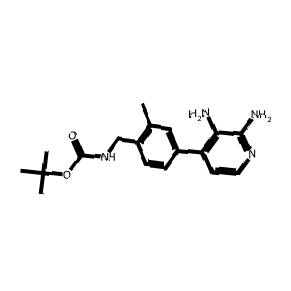 Cc1cc(-c2ccnc(N)c2N)ccc1CNC(=O)OC(C)(C)C